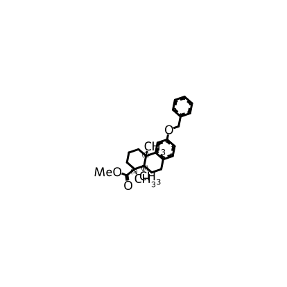 COC(=O)[C@@]1(C)CCC[C@]2(C)c3cc(OCc4ccccc4)ccc3CC[C@@]12C